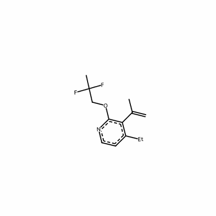 C=C(C)c1c(CC)ccnc1OCC(C)(F)F